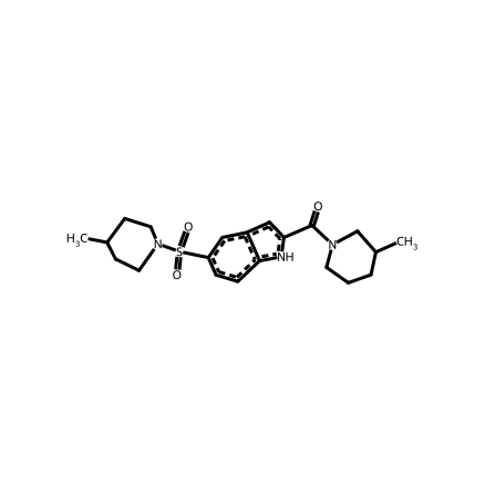 CC1CCN(S(=O)(=O)c2ccc3[nH]c(C(=O)N4CCCC(C)C4)cc3c2)CC1